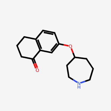 O=C1CCCc2ccc(OC3CCCNCC3)cc21